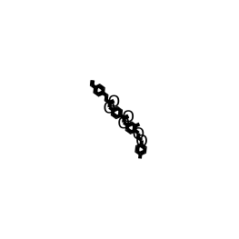 C=Cc1ccc(CCC(=O)Oc2ccc(C(=O)Oc3ccc(OCOc4ccc(C)cc4)c(C)c3)cc2)cc1